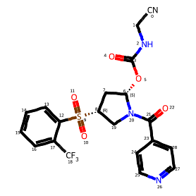 N#CCNC(=O)O[C@H]1C[C@@H](S(=O)(=O)c2ccccc2C(F)(F)F)CN1C(=O)c1ccncc1